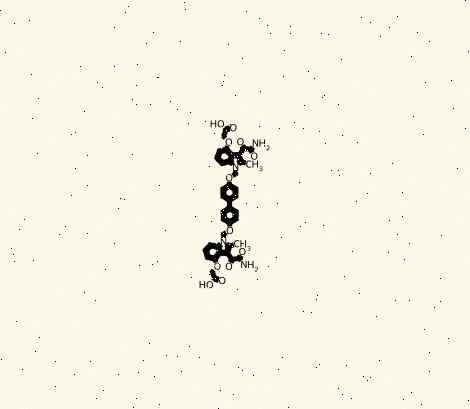 Cc1c(C(=O)C(N)=O)c2c(OCC(=O)O)cccc2n1COc1ccc(-c2ccc(OCn3c(C)c(C(=O)C(N)=O)c4c(OCC(=O)O)cccc43)cc2)cc1